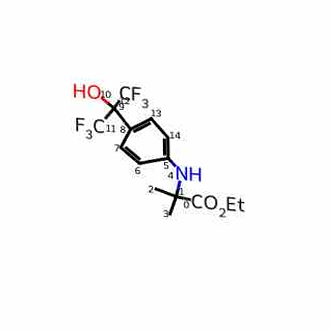 CCOC(=O)C(C)(C)Nc1ccc(C(O)(C(F)(F)F)C(F)(F)F)cc1